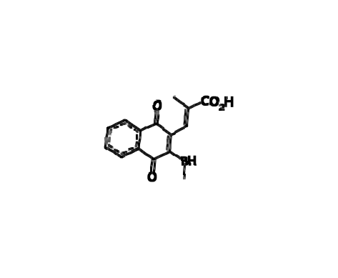 CBC1=C(/C=C(\C)C(=O)O)C(=O)c2ccccc2C1=O